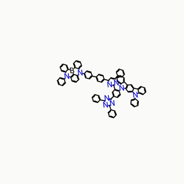 c1ccc(-c2cc(-c3ccc(-c4ccc(N5c6ccccc6B6c7ccccc7N(c7ccccc7)c7cccc5c76)cc4)cc3)nc(-c3cc(-c4nc(-c5ccccc5)nc(-c5ccccc5)n4)ccc3-n3c4ccccc4c4cc5c6ccccc6n(-c6ccccc6)c5cc43)n2)cc1